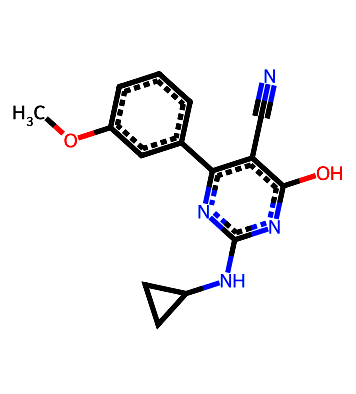 COc1cccc(-c2nc(NC3CC3)nc(O)c2C#N)c1